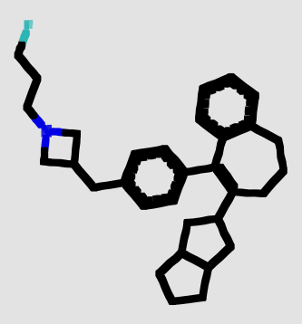 FCCCN1CC(Cc2ccc(C3=C(C4CC5CCCC5C4)CCCc4ccccc43)cc2)C1